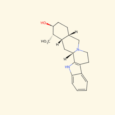 O=C(O)[C@H]1[C@H]2C[C@H]3c4[nH]c5ccccc5c4CCN3C[C@H]2CC[C@@H]1O